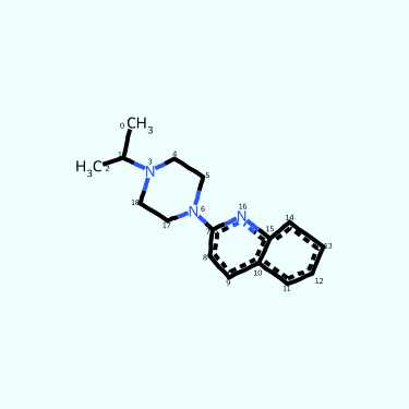 CC(C)N1CCN(c2ccc3ccccc3n2)CC1